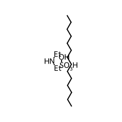 CCCCCCCCCCCCCC.CCNCC.O=S(=O)(O)O